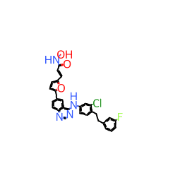 O=C(/C=C/c1ccc(-c2ccc3ncnc(Nc4ccc(CCc5cccc(F)c5)c(Cl)c4)c3c2)o1)NO